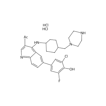 CC(=O)c1cnc2ccc(-c3cc(F)c(O)c(Cl)c3)cc2c1NC1CCC(CN2CCNCC2)CC1.Cl.Cl